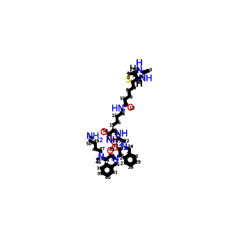 C=C1N[C@H]2CSC(CCCCC(=O)NCCCC[C@H](NC(=O)CN(Cc3ccccc3)C(=O)CN(Cc3ccccc3)C(=O)CN(C)CCCCN)C(N)=O)[C@H]2N1